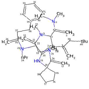 C=C(CC(C(=C)N(C)C)N(C)C(=C)CN(C)C(=C)C1(NC(=C)CN(CCC)C(=C)CCc2ccccc2)CCCC1)CC(C)(C)C